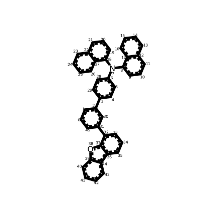 c1cc(-c2ccc(N(c3cccc4ccccc34)c3cccc4ccccc34)cc2)cc(-c2cccc3c2oc2ccccc23)c1